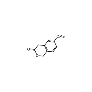 COc1ccc2c(c1)CC(=O)OC2